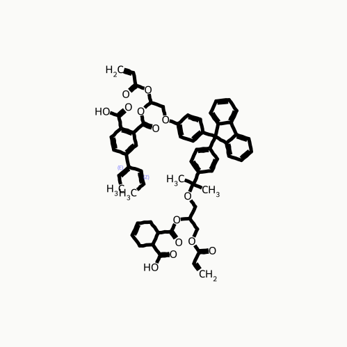 C=CC(=O)OCC(COC(C)(C)c1ccc(C2(c3ccc(OCC(OC(=O)C=C)OC(=O)c4cc(C(/C=C\C)=C/C)ccc4C(=O)O)cc3)c3ccccc3-c3ccccc32)cc1)OC(=O)C1CC=CCC1C(=O)O